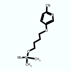 CC(C)(C)[Si](C)(C)OCCCCOc1ccc(C#N)nc1